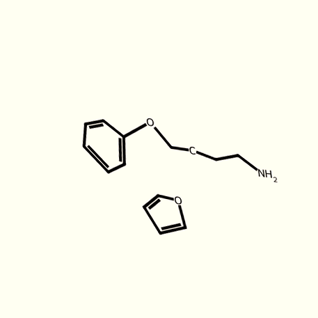 NCCCCOc1ccccc1.c1ccoc1